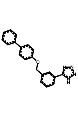 c1ccc(-c2ccc(OCc3cccc(-c4nnn[nH]4)c3)cc2)cc1